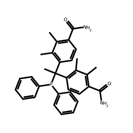 Cc1c(C(N)=O)ccc(C(C)(c2ccc(C(N)=O)c(C)c2C)P(c2ccccc2)c2ccccc2)c1C